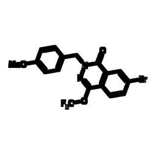 COc1ccc(Cn2nc(OC(F)(F)F)c3ccc(Br)cc3c2=O)cc1